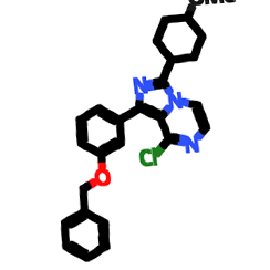 COC1CCC(c2nc(-c3cccc(OCc4ccccc4)c3)c3c(Cl)nccn23)CC1